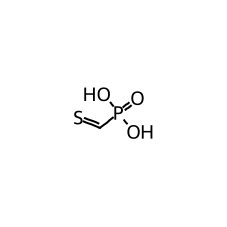 O=P(O)(O)C=S